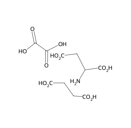 NC(CC(=O)O)C(=O)O.O=C(O)C(=O)O.O=C(O)CCC(=O)O